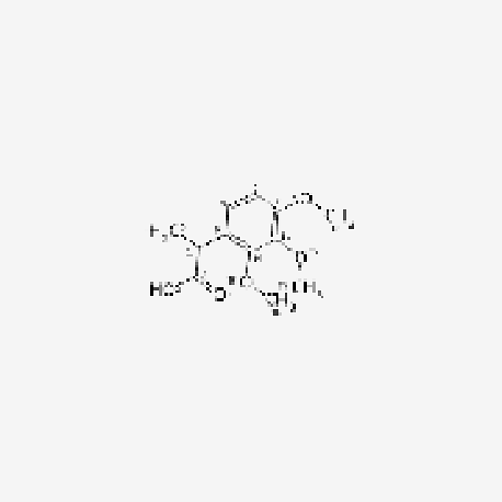 [CH2]C(C(=O)O)c1ccc(OC)c(OC)c1OC